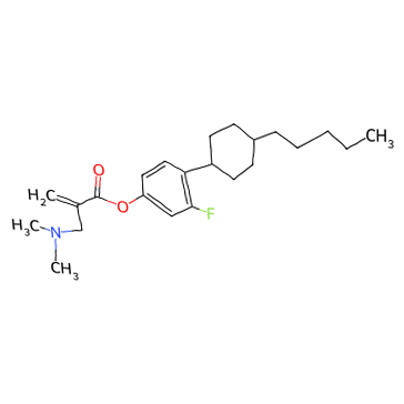 C=C(CN(C)C)C(=O)Oc1ccc(C2CCC(CCCCC)CC2)c(F)c1